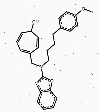 COc1ccc(CCCCN(CC2=CC=CC(O)C=C2)c2nc3ccccc3o2)cc1